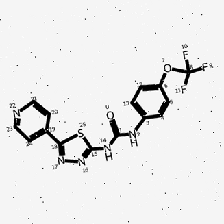 O=C(Nc1ccc(OC(F)(F)F)cc1)Nc1nnc(-c2ccncc2)s1